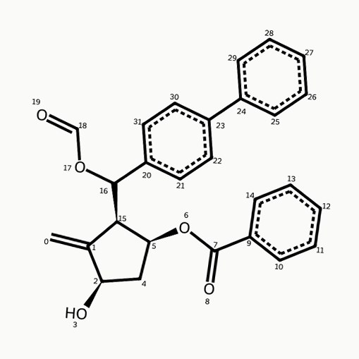 C=C1[C@H](O)C[C@H](OC(=O)c2ccccc2)[C@@H]1C(OC=O)c1ccc(-c2ccccc2)cc1